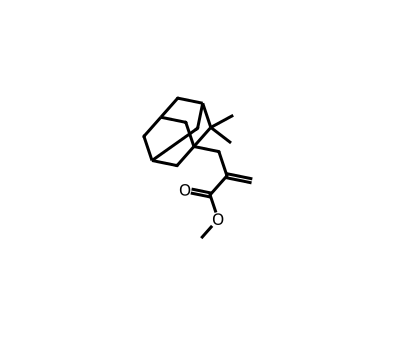 C=C(CC12CC3CC(CC(C3)C1(C)C)C2)C(=O)OC